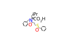 CC(C)C[C@@H](C(=O)O)N(Cc1ccccc1)C(=O)CCSC(=O)c1ccccc1